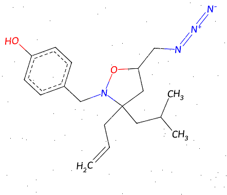 C=CCC1(CC(C)C)CC(CN=[N+]=[N-])ON1Cc1ccc(O)cc1